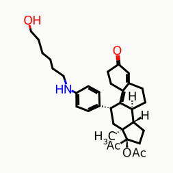 CC(=O)O[C@]1(C(C)=O)CC[C@H]2[C@@H]3CCC4=CC(=O)CCC4=C3[C@@H](c3ccc(NCCCCCCO)cc3)C[C@@]21C